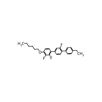 CCCCCCOc1ccc(-c2ccc(-c3ccc(CC)cc3)c(F)c2)c(F)c1F